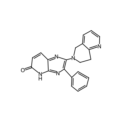 O=c1ccc2nc(N3CCc4ncccc4C3)c(-c3ccccc3)nc2[nH]1